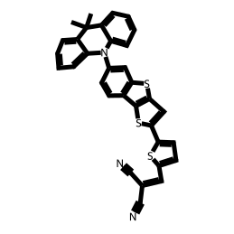 CC1(C)c2ccccc2N(c2ccc3c(c2)sc2cc(-c4ccc(C=C(C#N)C#N)s4)sc23)c2ccccc21